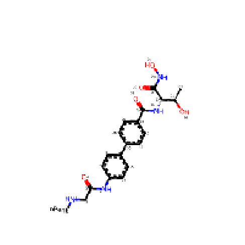 CCCCCNCC(=O)Nc1ccc(-c2ccc(C(=O)N[C@H](C(=O)NO)[C@@H](C)O)cc2)cc1